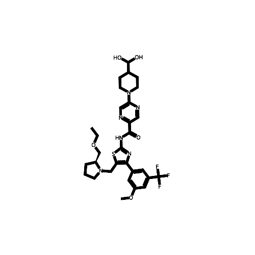 CCOC[C@@H]1CCCN1Cc1sc(NC(=O)c2cnc(N3CCC(C(O)O)CC3)cn2)nc1-c1cc(OC)cc(C(F)(F)F)c1